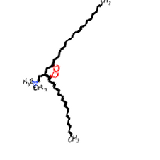 CCCCCCCCC=CCCCCCCCC(=O)CC(CCN(C)C)C(=O)CCCCCCCC=CCCCCCCCC